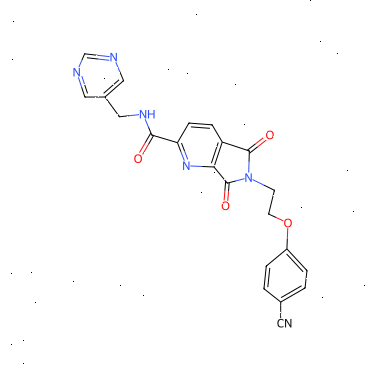 N#Cc1ccc(OCCN2C(=O)c3ccc(C(=O)NCc4cncnc4)nc3C2=O)cc1